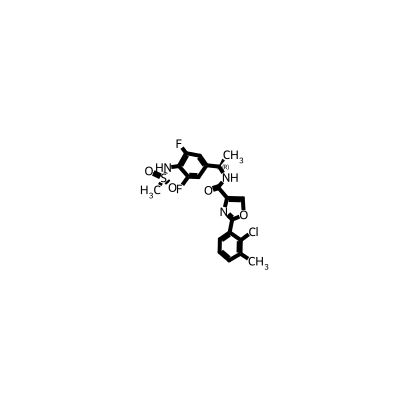 Cc1cccc(-c2nc(C(=O)N[C@H](C)c3cc(F)c(NS(C)(=O)=O)c(F)c3)co2)c1Cl